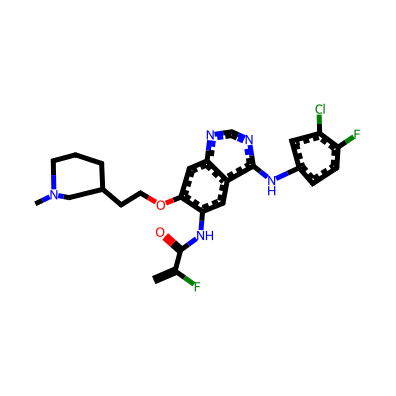 C=C(F)C(=O)Nc1cc2c(Nc3ccc(F)c(Cl)c3)ncnc2cc1OCCC1CCCN(C)C1